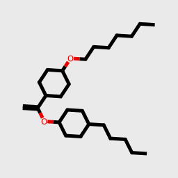 C=C(OC1CCC(CCCCC)CC1)C1CCC(OCCCCCCC)CC1